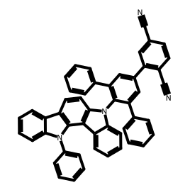 N#Cc1ccc(C#N)c(-c2cc(-c3ccccc3)c(-n3c4ccccc4c4c3ccc3c5ccccc5n(-c5ccccc5)c34)c(-c3ccccc3)c2)c1